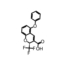 O=C(O)C1=Cc2c(Oc3ccccc3)cccc2O[C@@H]1C(F)(F)F